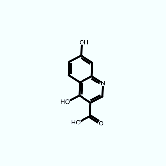 O=C(O)c1cnc2cc(O)ccc2c1O